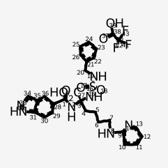 O=C(N[C@@](CCCCNc1ccccn1)(NS(=O)(=O)NCc1ccccc1)C(=O)O)c1ccc2[nH]ncc2c1.O=C(O)C(F)(F)F